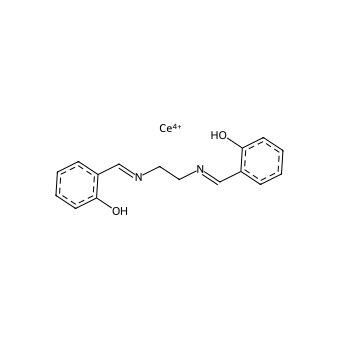 Oc1ccccc1C=NCCN=Cc1ccccc1O.[Ce+4]